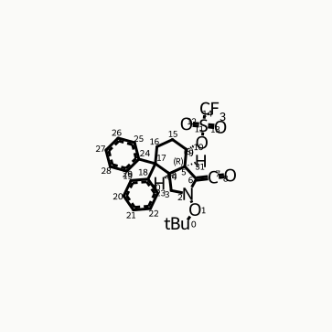 CC(C)(C)ON1C[C@@H]2[C@H](C1=C=O)[C@@H](OS(=O)(=O)C(F)(F)F)CCC2(c1ccccc1)c1ccccc1